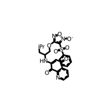 CC(C)CC(COc1no[n+]([O-])c1S(=O)(=O)c1ccccc1)NC1=CC(=O)c2cccnc2C1=O